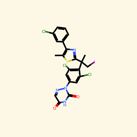 Cc1sc(C(C)(CI)c2c(Cl)cc(-n3ncc(=O)[nH]c3=O)cc2Cl)nc1-c1cccc(Cl)c1